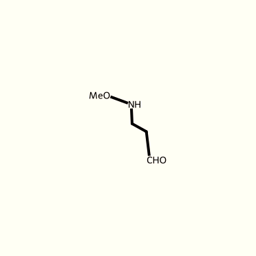 CONCCC=O